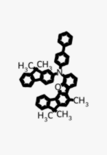 Cc1cc2c(c3oc4c(N(c5ccc(-c6ccccc6)cc5)c5ccc6c(c5)C(C)(C)c5ccccc5-6)cccc4c13)-c1ccccc1C2(C)C